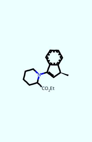 CCOC(=O)C1CCCCN1C1=C[C@H](C)c2ccccc21